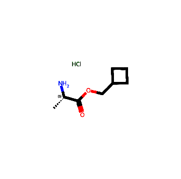 C[C@H](N)C(=O)OCC1CCC1.Cl